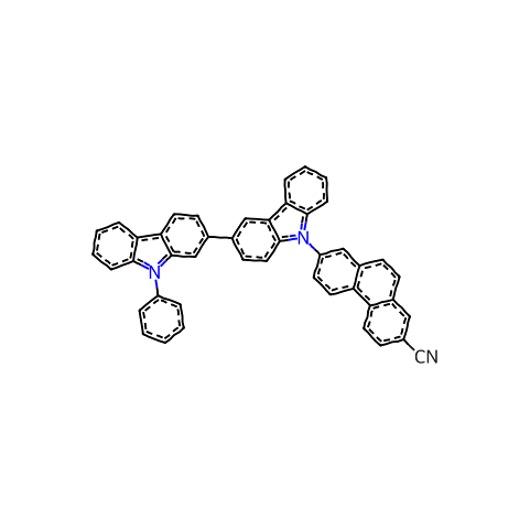 N#Cc1ccc2c(ccc3cc(-n4c5ccccc5c5cc(-c6ccc7c8ccccc8n(-c8ccccc8)c7c6)ccc54)ccc32)c1